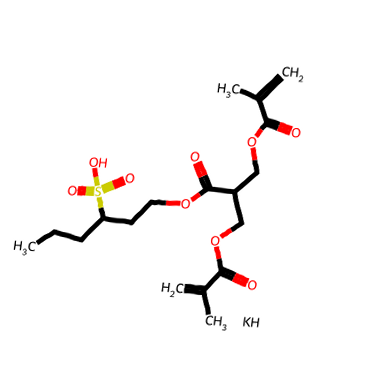 C=C(C)C(=O)OCC(COC(=O)C(=C)C)C(=O)OCCC(CCC)S(=O)(=O)O.[KH]